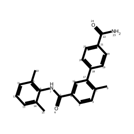 Cc1ccc(C(=O)Nc2c(C)cccc2C)cc1-c1ccc(C(N)=O)cc1